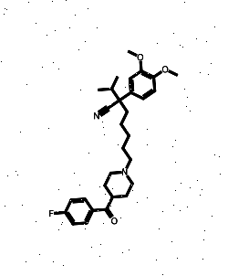 COc1ccc(C(C#N)(CCCCCN2CCC(C(=O)c3ccc(F)cc3)CC2)C(C)C)cc1OC